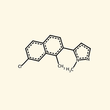 Cc1c(-c2ccnn2C)ccc2ccc(Cl)cc12